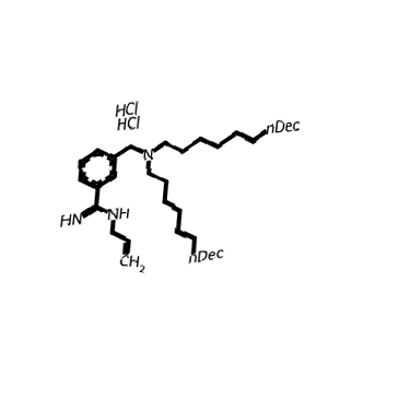 C=CCNC(=N)c1cccc(CN(CCCCCCCCCCCCCCCC)CCCCCCCCCCCCCCCC)c1.Cl.Cl